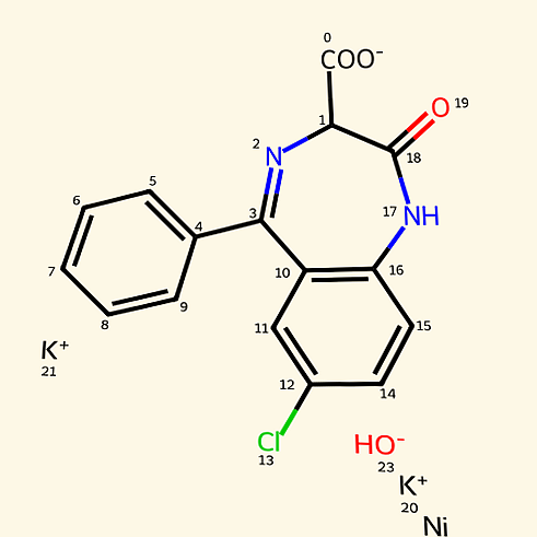 O=C([O-])C1N=C(c2ccccc2)c2cc(Cl)ccc2NC1=O.[K+].[K+].[Ni].[OH-]